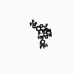 C[C@@](C(=O)N[C@H]1C[C@@H]2CC1CC2(F)F)(c1cncnc1)N(C(=O)[C@H](F)Cl)c1ccc(OC(F)(F)F)cc1F